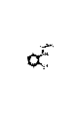 Oc1ccccc1[SiH2]O[SiH3]